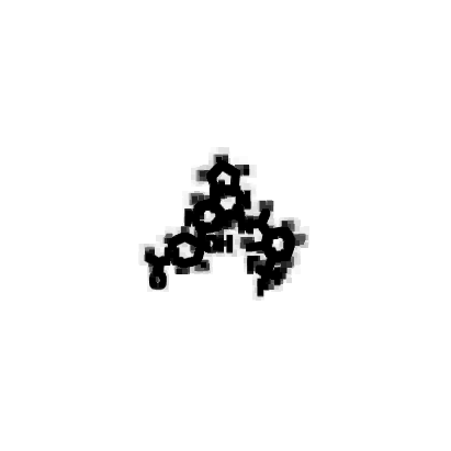 CC(=O)N1CCC(O)(c2cc3/c(=N/C(C)c4cccc(C(F)(F)F)c4C)nc4n(c3cn2)CCC4)CC1